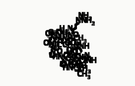 CC(C)C[C@H](NC(=O)[C@@H]1CCCN1C(=O)[C@H](CC(=O)O)NC(=O)[C@@H]1CCCN1C(=O)CNC(=O)[C@H](CO)NC(=O)[C@@H]1CCCN1C(=O)[C@@H](NC(=O)[C@@H](NC(=O)[C@@H](N)CCCN=C(N)N)[C@@H](C)O)C(C)C)C(=O)N[C@@H](Cc1cnc[nH]1)C(=O)N[C@@H](Cc1cnc[nH]1)C(=O)O